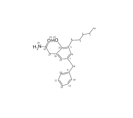 CCCCCc1cc(Cc2ccccc2)cc(CC(N)=O)c1O